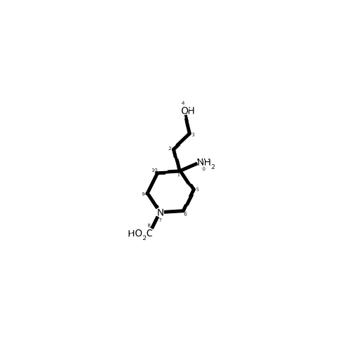 NC1(CCO)CCN(C(=O)O)CC1